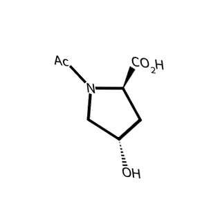 CC(=O)N1C[C@@H](O)C[C@@H]1C(=O)O